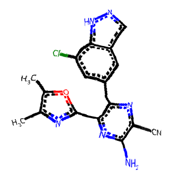 Cc1nc(-c2nc(N)c(C#N)nc2-c2cc(Cl)c3[nH]ncc3c2)oc1C